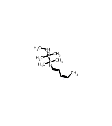 C/C=C\C=C[PH](C)(C)[PH](C)(C)PC